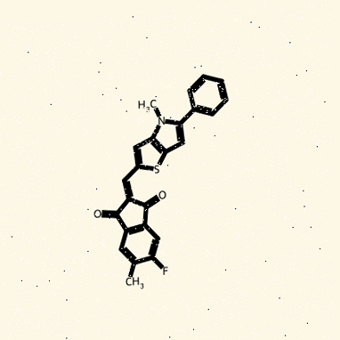 Cc1cc2c(cc1F)C(=O)/C(=C\c1cc3c(cc(-c4ccccc4)n3C)s1)C2=O